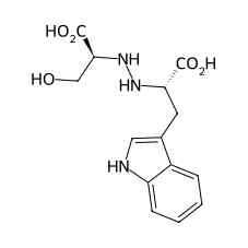 O=C(O)[C@H](CO)NN[C@@H](Cc1c[nH]c2ccccc12)C(=O)O